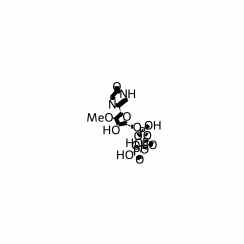 CO[C@H]1C(O)[C@@H](COP(=O)(O)OP(=O)(O)OP(=O)(O)O)O[C@H]1c1c[nH]c(=O)cn1